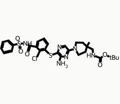 CC1(CNC(=O)OC(C)(C)C)CCN(c2cnc(Sc3cccc(C(=O)NS(=O)(=O)c4ccccc4)c3Cl)c(N)n2)CC1